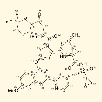 C=C[C@@H]1C[C@]1(NC(=O)[C@@H]1C[C@@H](Oc2cc(-c3ccccn3)nc3cc(OC)ccc23)CN1C(=O)[C@@H](CC(=O)N1CCCC(F)(F)C1)C(C)(C)C)C(=O)NS(=O)(=O)C1CC1